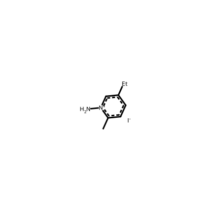 CCc1ccc(C)[n+](N)c1.[I-]